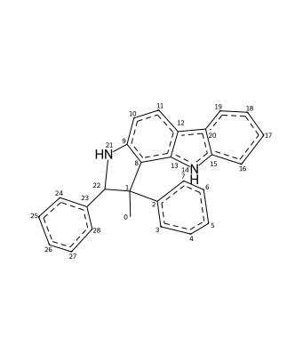 CC1(c2ccccc2)c2c(ccc3c2[nH]c2ccccc23)NC1c1ccccc1